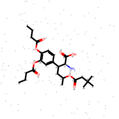 CCCC(=O)Oc1ccc(C(CC(C)OC(=O)CC(C)(C)C)[C@H](N)C(=O)O)cc1OC(=O)CCC